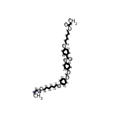 C=CC(=O)OCCCCCCOc1ccc(C(=O)Oc2ccc(OCOc3ccc(OCCCCCCOO/C=C\C)cc3)cc2)cc1